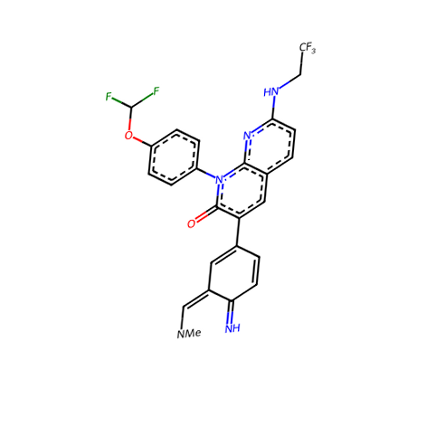 CN/C=C1/C=C(c2cc3ccc(NCC(F)(F)F)nc3n(-c3ccc(OC(F)F)cc3)c2=O)C=CC1=N